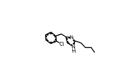 CCCCc1nc(Cc2ccccc2Cl)c[nH]1